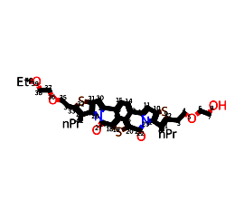 CCCc1c(CCOCCO)sc2cc3c4ccc5c6c(sc(c(=O)n3c12)c46)c(=O)n1c5cc2sc(CCOCCOCC)c(CCC)c21